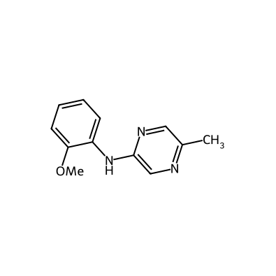 COc1ccccc1Nc1cnc(C)cn1